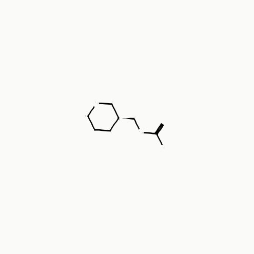 CC(C)C(=O)NC[C@H]1CCCNC1